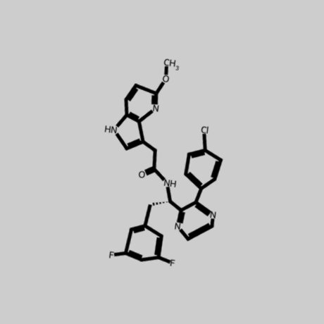 COc1ccc2[nH]cc(CC(=O)N[C@@H](Cc3cc(F)cc(F)c3)c3nccnc3-c3ccc(Cl)cc3)c2n1